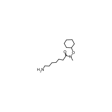 CN(OC1CCCCC1)C(=O)CCCCCCN